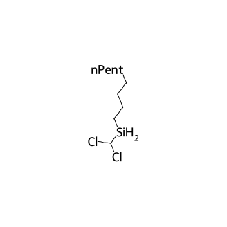 CCCCCCCCC[SiH2]C(Cl)Cl